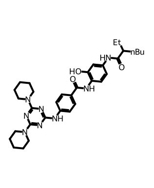 CCCCC(CC)C(=O)Nc1ccc(NC(=O)c2ccc(Nc3nc(N4CCCCC4)nc(N4CCCCC4)n3)cc2)c(O)c1